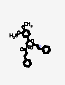 COc1ccc(C(CNC(=O)CCc2ccccc2)OC(=O)/C=C/c2ccccc2)cc1OC